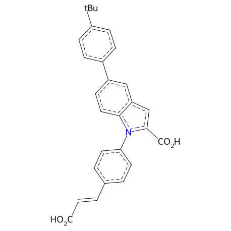 CC(C)(C)c1ccc(-c2ccc3c(c2)cc(C(=O)O)n3-c2ccc(C=CC(=O)O)cc2)cc1